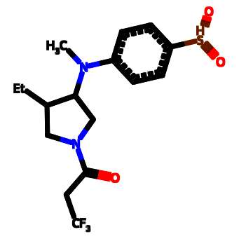 CCC1CN(C(=O)CC(F)(F)F)CC1N(C)c1ccc([SH](=O)=O)cc1